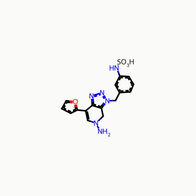 NN1C=C(c2ccco2)c2nnn(Cc3cccc(NS(=O)(=O)O)c3)c2C1